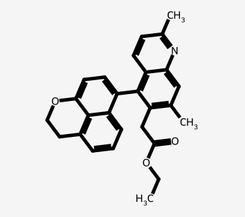 CCOC(=O)Cc1c(C)cc2nc(C)ccc2c1-c1ccc2c3c(cccc13)CCO2